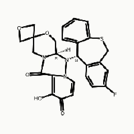 O=C1c2c(O)c(=O)ccn2N([C@H]2c3ccc(F)cc3CSc3ccccc32)[C@@H]2COC3(COC3)CN12